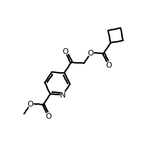 COC(=O)c1ccc(C(=O)COC(=O)C2CCC2)cn1